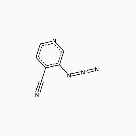 N#Cc1ccncc1N=[N+]=[N-]